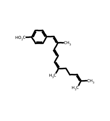 CC(C)=CCCC(C)=CC=CC(C)=Cc1ccc(C(=O)O)cc1